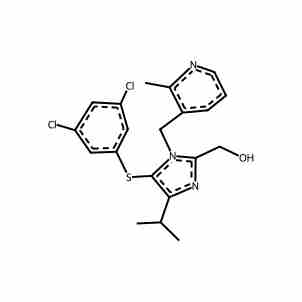 Cc1ncccc1Cn1c(CO)nc(C(C)C)c1Sc1cc(Cl)cc(Cl)c1